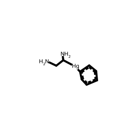 NC[CH](N)[Hg][c]1ccccc1